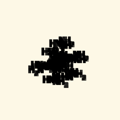 CC(=O)N[C@@H](CCCNC(=N)N)C(=O)N[C@@H](CCCNC(=N)N)C(=O)N[C@@H](CCCNC(=N)N)C(=O)N[C@@H](CCCNC(=N)N)C(=O)N[C@@H](CCCCNC(=N)N)C(=O)NCC(=O)CS